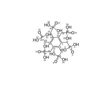 O=P(O)(O)Cc1c(CP(=O)(O)O)c(CP(=O)(O)O)c(CP(=O)(O)O)c(CP(=O)(O)O)c1CP(=O)(O)O